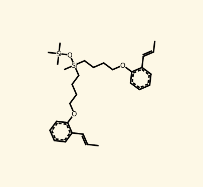 CC=Cc1ccccc1OCCCC[Si](C)(CCCCOc1ccccc1C=CC)O[Si](C)(C)C